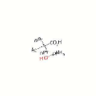 CC(C)O.CCCC(CCC)(C(C)=O)C(=O)O.[AlH3]